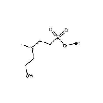 CC(C)OS(=O)(=O)CCN(C)CCO